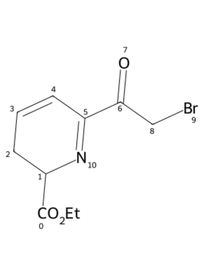 CCOC(=O)C1CC=CC(C(=O)CBr)=N1